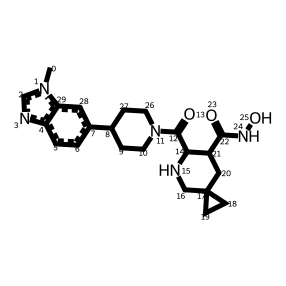 Cn1cnc2ccc(C3CCN(C(=O)C4NCC5(CC5)CC4C(=O)NO)CC3)cc21